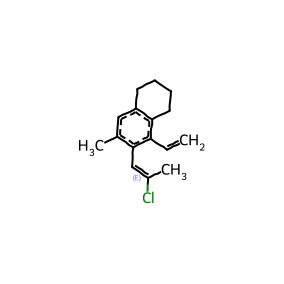 C=Cc1c(/C=C(\C)Cl)c(C)cc2c1CCCC2